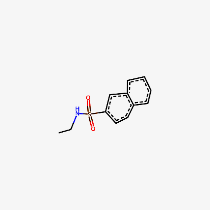 CCNS(=O)(=O)c1ccc2ccccc2c1